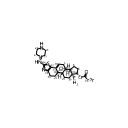 CCCC(=O)O[C@H]1CC[C@H]2[C@@H]3CC=C4c5sc(NN6CCNCC6)nc5CC[C@]4(C)[C@H]3CC[C@]12C